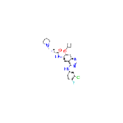 O=C(/C=C/CN1CCCC1)Nc1cc2c(Nc3ccc(F)c(Cl)c3)ncnc2cc1OC1CCC1